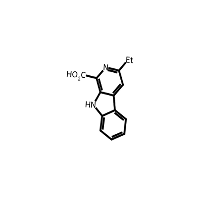 CCc1cc2c([nH]c3ccccc32)c(C(=O)O)n1